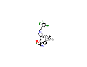 COc1ccc2ncc(CF)c([C@H](O)CCC3(CC(=O)O)CCN(CCCc4cc(F)cc(F)c4F)CC3)c2c1